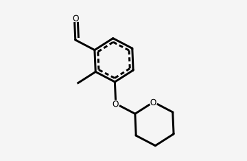 Cc1c(C=O)cccc1OC1CCCCO1